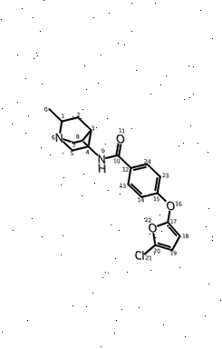 CC1CC2CCN1CC2NC(=O)c1ccc(Oc2ccc(Cl)o2)cc1